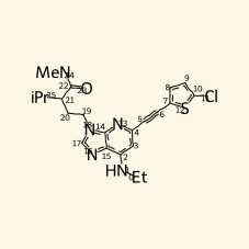 CCNc1cc(C#Cc2ccc(Cl)s2)nc2c1ncn2CCC(C(=O)NC)C(C)C